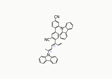 C=C/C(=C\C=C(/C)n1c2ccccc2c2ccccc21)c1ccc(-c2ccc(C#N)cc2-n2c3ccccc3c3ccccc32)cc1C#N